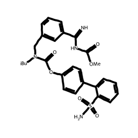 CCC(C)N(Cc1cccc(C(=N)NC(=O)OC)c1)C(=O)Oc1ccc(-c2ccccc2S(N)(=O)=O)cc1